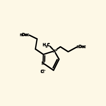 CCCCCCCCCCCCC1=NC=C[N+]1(C)CCCCCCCCCCCC.[Cl-]